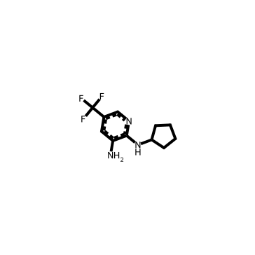 Nc1cc(C(F)(F)F)cnc1NC1CCCC1